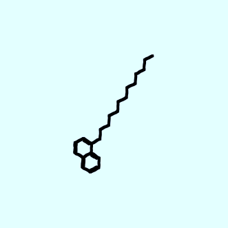 CCCCCCCCCCCCCc1cccc2ccccc12